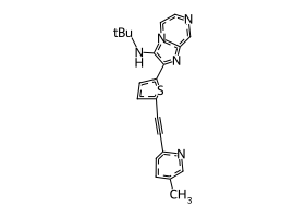 Cc1ccc(C#Cc2ccc(-c3nc4cnccn4c3NC(C)(C)C)s2)nc1